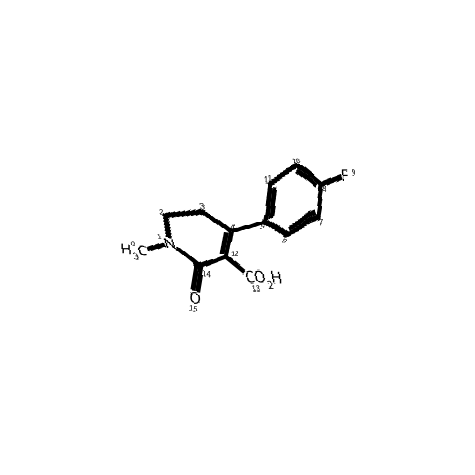 CN1CCC(c2ccc(F)cc2)=C(C(=O)O)C1=O